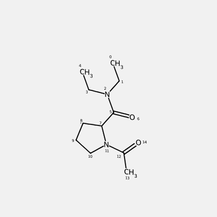 CCN(CC)C(=O)C1[CH]CCN1C(C)=O